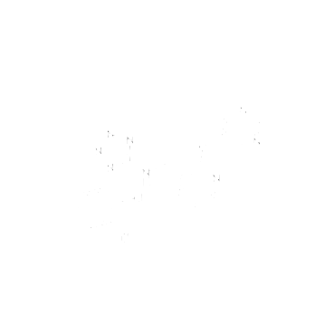 Clc1cccc(-n2nnnc2NCc2cccnc2Oc2cncnc2)c1Cl